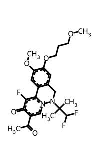 COCCCOc1cc2c(cc1OC)-c1c(F)c(=O)c(C(C)=O)cn1N(C(C)(C)C(F)F)C2